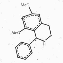 COc1cc2c(c(OC)c1)C(c1ccccc1)NCC2